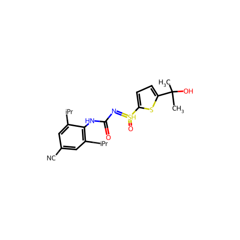 CC(C)c1cc(C#N)cc(C(C)C)c1NC(=O)/N=[SH](=O)/c1ccc(C(C)(C)O)s1